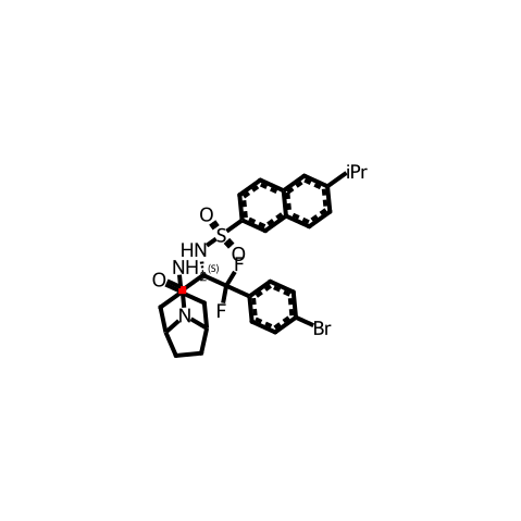 CC(C)c1ccc2cc(S(=O)(=O)N[C@@H](C(=O)N3C4CCC3CC(N)C4)C(F)(F)c3ccc(Br)cc3)ccc2c1